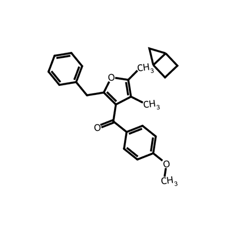 C1CC2CC12.COc1ccc(C(=O)c2c(Cc3ccccc3)oc(C)c2C)cc1